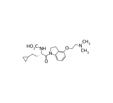 CN(C)CCOc1cccc2c1CCN2C(=O)[C@H](CCC1CC1)NC(=O)O